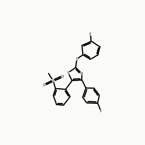 CS(=O)(=O)c1ccccc1-c1sc(Sc2cccc(F)c2)nc1-c1ccc(F)cc1